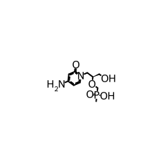 CP(=O)(O)CO[C@H](CO)Cn1ccc(N)cc1=O